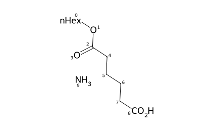 CCCCCCOC(=O)CCCCC(=O)O.N